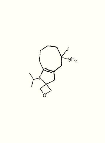 BC1(I)CCCCC2=C(C1)CC1(COC1)N2C(C)C